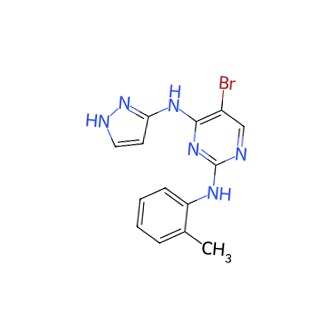 Cc1ccccc1Nc1ncc(Br)c(Nc2cc[nH]n2)n1